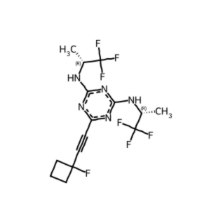 C[C@@H](Nc1nc(C#CC2(F)CCC2)nc(N[C@H](C)C(F)(F)F)n1)C(F)(F)F